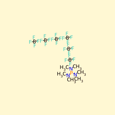 CN(C)P(N(C)C)N(C)C.F[B-](F)(F)F.F[B-](F)(F)F.F[B-](F)(F)F.F[B-](F)(F)F.F[B-](F)(F)F.F[B-](F)(F)F